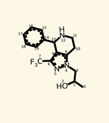 CC(O)Cn1nc(C(F)(F)F)c2c1CCNC2c1ccccc1